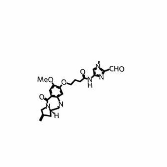 C=C1C[C@H]2C=Nc3cc(OCCCC(=O)Nc4cn(C)c(C=O)n4)c(OC)cc3C(=O)N2C1